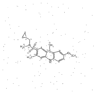 COc1ccc(Nc2ccc(S(=O)(=O)N(C)CC3CC3)c(C)c2)c(OC)c1